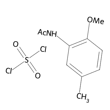 COc1ccc(C)cc1NC(C)=O.O=S(=O)(Cl)Cl